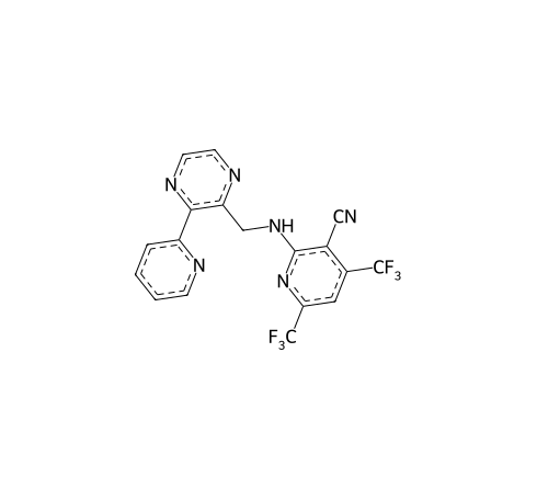 N#Cc1c(C(F)(F)F)cc(C(F)(F)F)nc1NCc1nccnc1-c1ccccn1